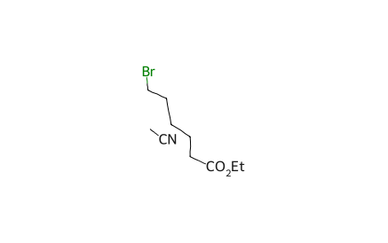 CC#N.CCOC(=O)CCCCCBr